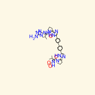 CC(C)[C@H](Nc1nc(N)n(C)n1)C(=O)N1CCC[C@H]1c1ncc(-c2ccc(-c3ccc(-c4cnc([C@@H]5CCCN5C(=O)[C@@H](NC5OCO5)C(C)C)[nH]4)cc3)cc2)[nH]1